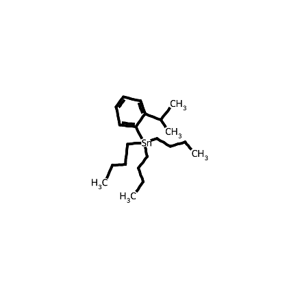 CCC[CH2][Sn]([CH2]CCC)([CH2]CCC)[c]1ccccc1C(C)C